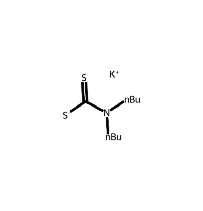 CCCCN(CCCC)C(=S)[S-].[K+]